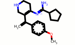 C=C(C1=C(/N=C(\N)C2CCCC2)CCNC1)c1ccc(OC)cc1